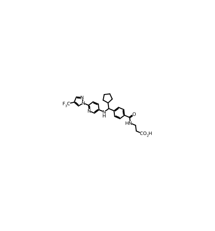 O=C(O)CCNC(=O)c1ccc(C(Nc2ccc(-n3cc(C(F)(F)F)cn3)nc2)C2CCCC2)cc1